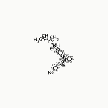 CC(C)=CCCC(C)=CCNC(=O)c1cc2cc(N(Cc3cncn3Cc3ccc(C#N)cc3)S(=O)(=O)c3ccccc3)ccc2s1